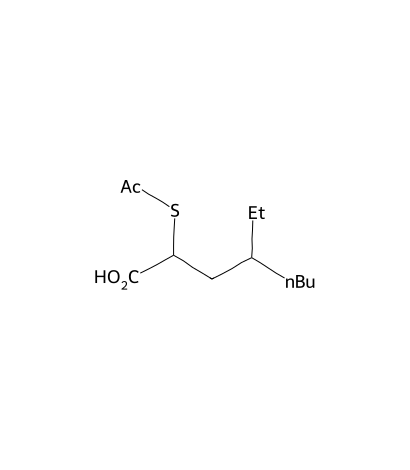 CCCCC(CC)CC(SC(C)=O)C(=O)O